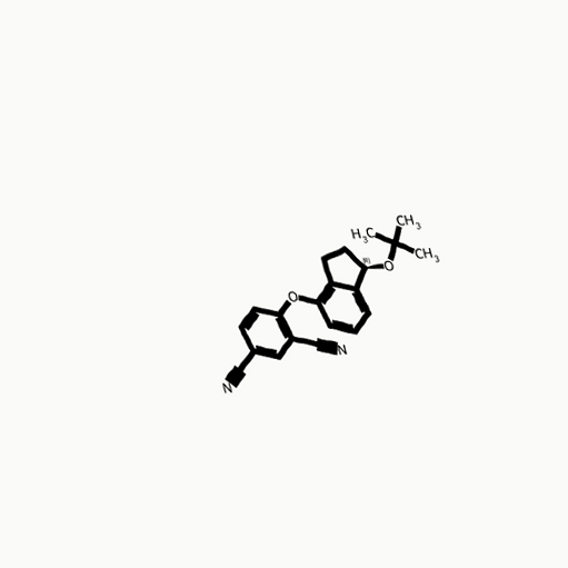 CC(C)(C)O[C@@H]1CCc2c(Oc3ccc(C#N)cc3C#N)cccc21